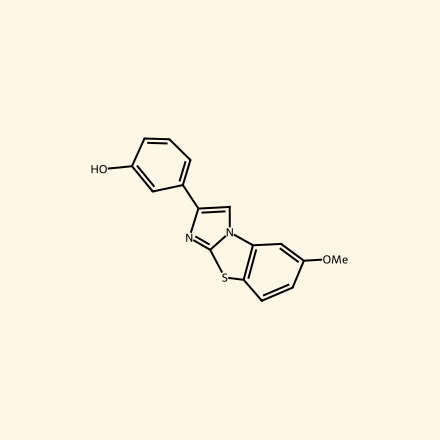 COc1ccc2sc3nc(-c4cccc(O)c4)cn3c2c1